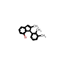 CC1=Cc2cccc(Br)c2C1c1cccc(C)c1C